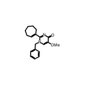 COc1cn(Cc2ccccc2)c(C2=CCCCCC2)nc1=O